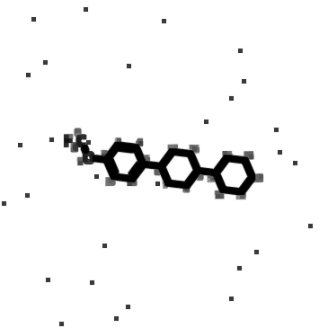 FC(F)(F)Oc1ccc(C2CCC(C3CC[CH]CC3)CC2)cc1